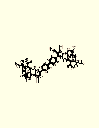 COC(=O)N[C@H](C(=O)N1C(C)[C@H](C)C[C@H]1c1nc(-c2ccc(-c3ccc(-c4c[nH]c([C@@H]5C[C@H]6C[C@H]6N5C(=O)[C@@H](NC(=O)OC)C(C)C)n4)cc3)cc2)c(C#N)[nH]1)C(C)C